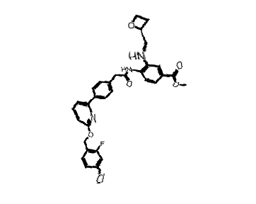 COC(=O)c1ccc(NC(=O)Cc2ccc(-c3cccc(OCc4ccc(Cl)cc4F)n3)cc2)c(NC[C@@H]2CCO2)c1